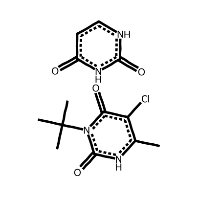 Cc1[nH]c(=O)n(C(C)(C)C)c(=O)c1Cl.O=c1cc[nH]c(=O)[nH]1